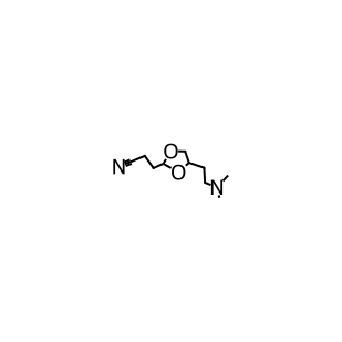 CN(C)CCC1COC(CCC#N)O1